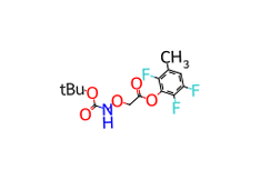 Cc1cc(F)c(F)c(OC(=O)CONC(=O)OC(C)(C)C)c1F